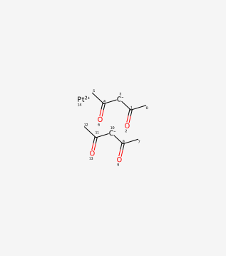 CC(=O)[CH-]C(C)=O.CC(=O)[CH-]C(C)=O.[Pt+2]